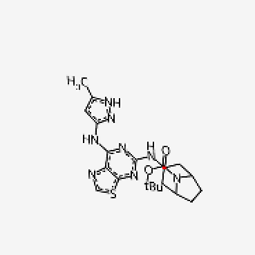 Cc1cc(Nc2nc(NC3CC4CCC(C3)N4C(=O)OC(C)(C)C)nc3scnc23)n[nH]1